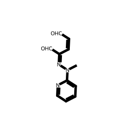 CN(/N=C(C=O)\C=C/C=O)c1ccccn1